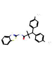 COc1ccc(C(c2ccc(OC)cc2)C(C)(C)C(=O)Nc2nc3ccccc3s2)cc1